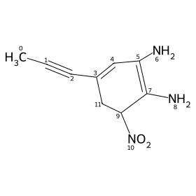 CC#CC1=CC(N)=C(N)C([N+](=O)[O-])C1